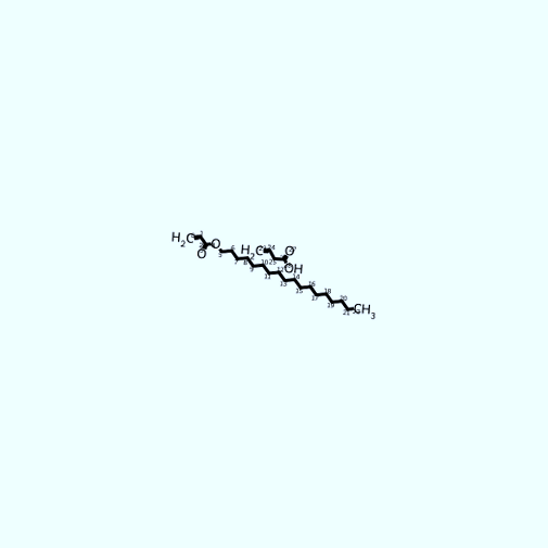 C=CC(=O)OCCCCCCCCCCCCCCCCCC.C=CCC(=O)O